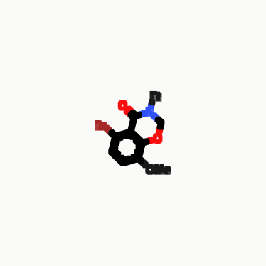 CCN1COc2c(OC)ccc(Br)c2C1=O